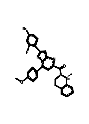 COc1ccc(-c2cc(C(=O)N3CCc4ccccc4[C@H]3C)nc3cc(-c4ccc(Br)cc4F)nn23)cc1